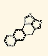 c1ccc2cc3c(cc2c1)Cc1csc2scc-3c12